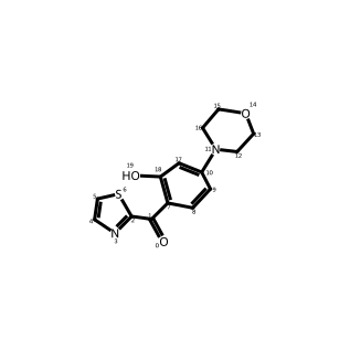 O=C(c1nccs1)c1ccc(N2CCOCC2)cc1O